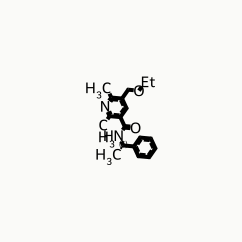 CCOCc1cc(C(=O)N[C@@H](C)c2ccccc2)c(C)nc1C